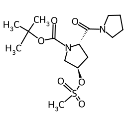 CC(C)(C)OC(=O)N1C[C@H](OS(C)(=O)=O)C[C@H]1C(=O)N1CCCC1